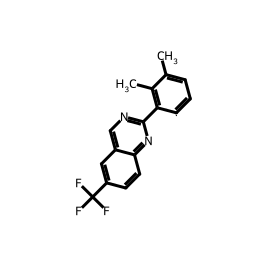 Cc1cc[c]c(-c2ncc3cc(C(F)(F)F)ccc3n2)c1C